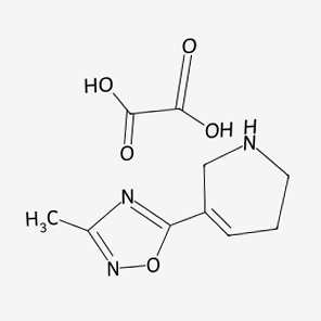 Cc1noc(C2=CCCNC2)n1.O=C(O)C(=O)O